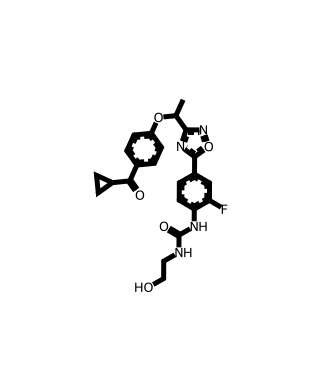 CC(Oc1ccc(C(=O)C2CC2)cc1)c1noc(-c2ccc(NC(=O)NCCO)c(F)c2)n1